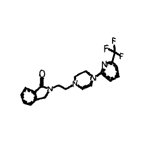 O=C1c2ccccc2CN1CCN1CCN(c2cccc(C(F)(F)F)n2)CC1